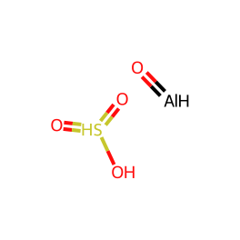 O=[SH](=O)O.[O]=[AlH]